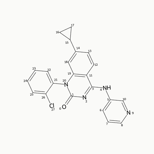 O=c1nc(Nc2cccnc2)c2ccc(C3CC3)cc2n1-c1ccccc1Cl